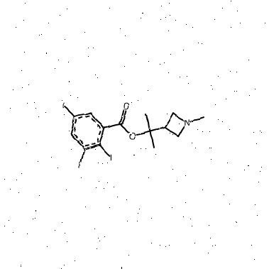 CN1CC(C(C)(C)OC(=O)c2cc(I)cc(I)c2I)C1